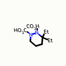 CCC1(CC)CCCN(C(=O)O)N1C(=O)O